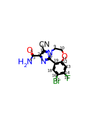 N#Cc1c(C(N)=O)nc2n1CCOc1cc(F)c(Br)cc1-2